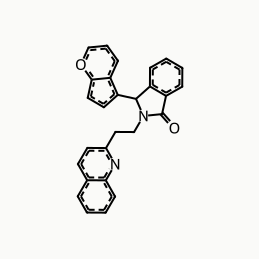 O=C1c2ccccc2C(c2ccc3occcc2-3)N1CCc1ccc2ccccc2n1